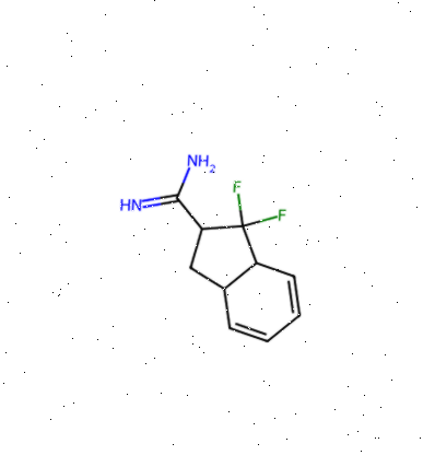 N=C(N)C1CC2C=CC=CC2C1(F)F